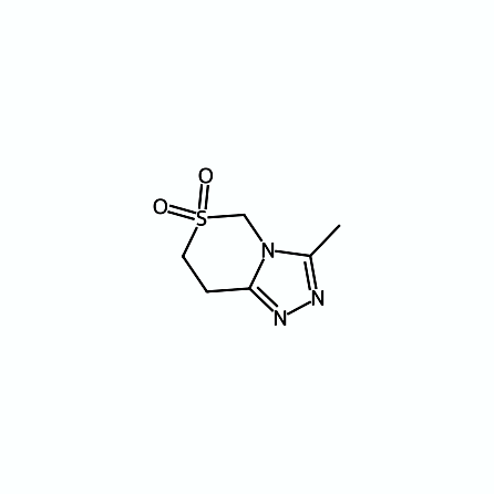 Cc1nnc2n1CS(=O)(=O)CC2